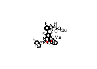 COc1c(F)c(-c2ccc(F)c3sc(NC(=O)OC(C)(C)C)nc23)c(F)c2nc(OC[C@@]34CCCN3C[C@H](F)C4)nc(N3CC4CCC(C3)N4C(=O)OC(C)(C)C)c12